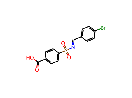 O=C(O)c1ccc(S(=O)(=O)/N=C/c2ccc(Br)cc2)cc1